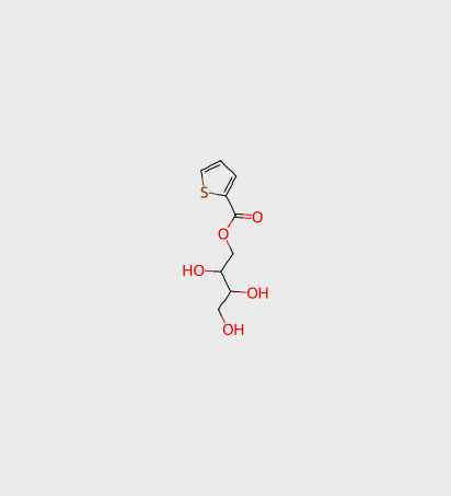 O=C(OCC(O)C(O)CO)c1cccs1